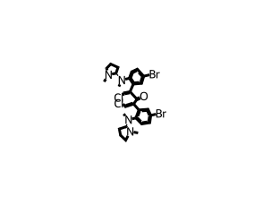 CN1CCC[C@@H]1N(C)c1ccc(Br)cc1C(=CCl)C(=O)C(=CCl)c1cc(Br)ccc1N(C)[C@H]1CCCN1C